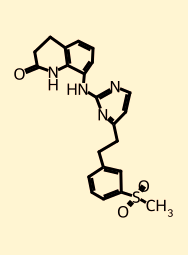 CS(=O)(=O)c1cccc(CCc2ccnc(Nc3cccc4c3NC(=O)CC4)n2)c1